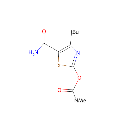 CNC(=O)Oc1nc(C(C)(C)C)c(C(N)=O)s1